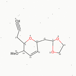 C#CCC1OC(CC2OCCO2)C=CC1OC